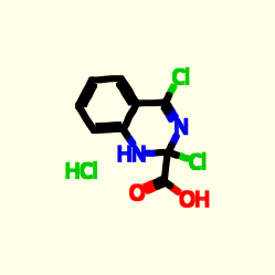 Cl.O=C(O)C1(Cl)N=C(Cl)c2ccccc2N1